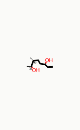 C=CC(O)CC[C@@H](C)[C@H](C)O